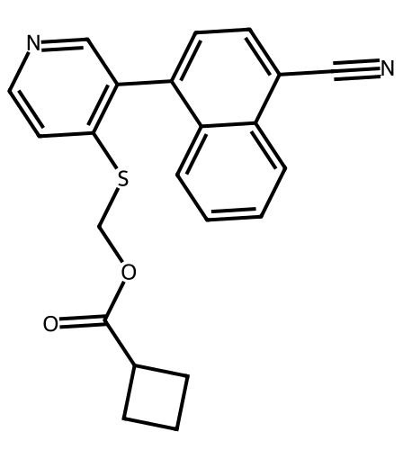 N#Cc1ccc(-c2cnccc2SCOC(=O)C2CCC2)c2ccccc12